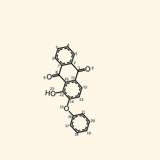 O=C1c2ccccc2C(=O)c2c1ccc(Oc1ccccc1)c2O